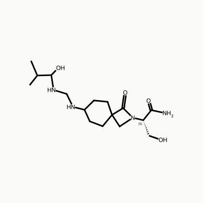 CC(C)C(O)NCNC1CCC2(CC1)CN([C@@H](CO)C(N)=O)C2=O